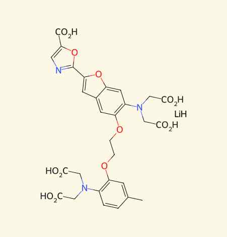 Cc1ccc(N(CC(=O)O)CC(=O)O)c(OCCOc2cc3cc(-c4ncc(C(=O)O)o4)oc3cc2N(CC(=O)O)CC(=O)O)c1.[LiH]